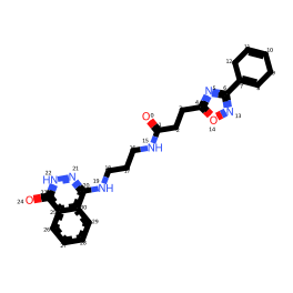 O=C(CCc1nc(C2=CCC=CC2)no1)NCCCNc1n[nH]c(=O)c2ccccc12